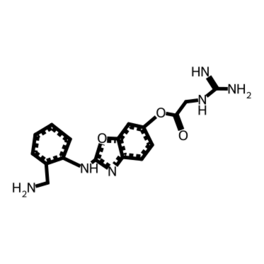 N=C(N)NCC(=O)Oc1ccc2nc(Nc3ccccc3CN)oc2c1